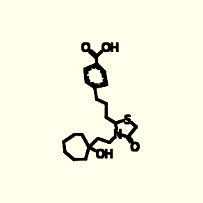 O=C(O)c1ccc(CCCC2SCC(=O)N2CCC2(O)CCCCCC2)cc1